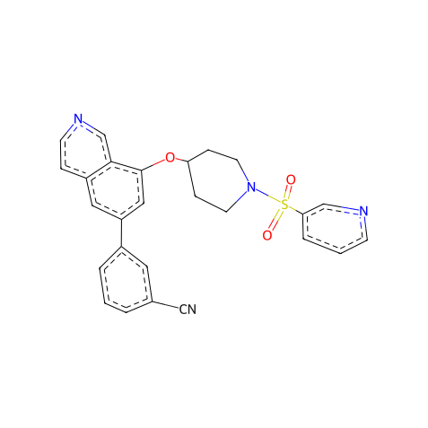 N#Cc1cccc(-c2cc(OC3CCN(S(=O)(=O)c4cccnc4)CC3)c3cnccc3c2)c1